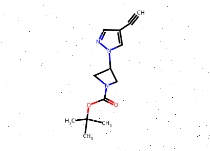 C#Cc1cnn(C2CN(C(=O)OC(C)(C)C)C2)c1